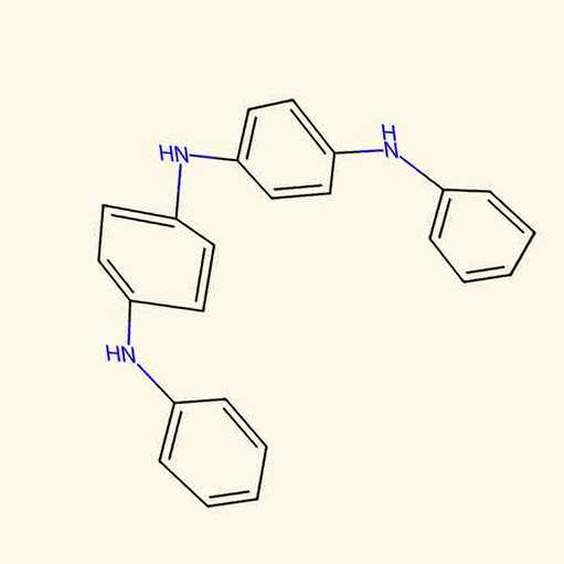 c1ccc(Nc2ccc(Nc3ccc(Nc4ccccc4)cc3)cc2)cc1